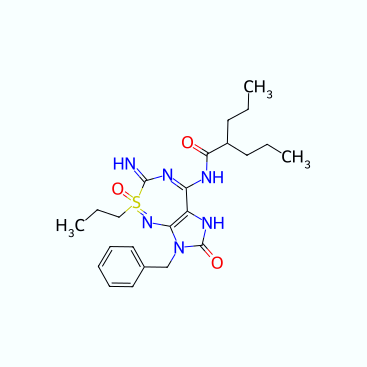 CCCC(CCC)C(=O)NC1=NC(=N)S(=O)(CCC)=Nc2c1[nH]c(=O)n2Cc1ccccc1